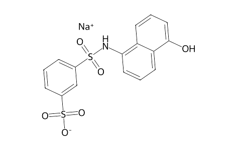 O=S(=O)([O-])c1cccc(S(=O)(=O)Nc2cccc3c(O)cccc23)c1.[Na+]